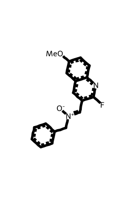 COc1ccc2nc(F)c(/C=[N+](\[O-])Cc3ccccc3)cc2c1